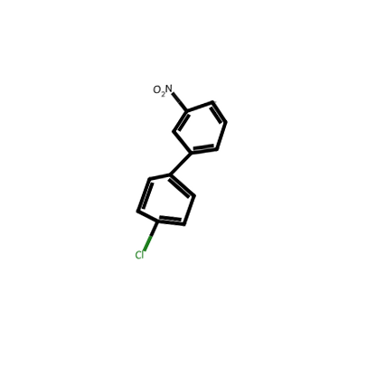 O=[N+]([O-])c1[c]ccc(-c2ccc(Cl)cc2)c1